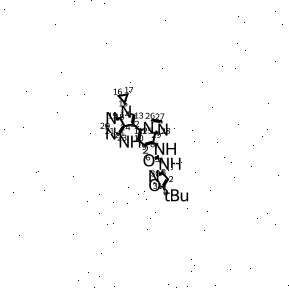 CC(C)(C)c1cc(NC(=O)Nc2ccc(-c3cn(C4CC4)c4ncnc(N)c34)n3ccnc23)no1